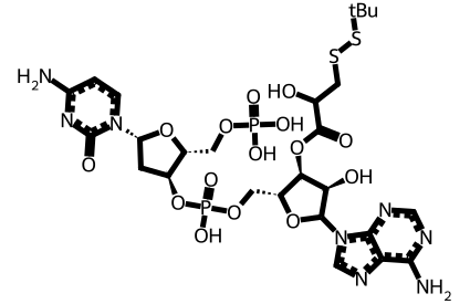 CC(C)(C)SSCC(O)C(=O)O[C@@H]1[C@@H](COP(=O)(O)O[C@H]2C[C@H](n3ccc(N)nc3=O)O[C@@H]2COP(=O)(O)O)OC(n2cnc3c(N)ncnc32)[C@@H]1O